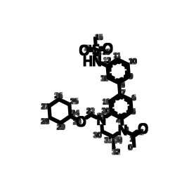 CC(=O)N1c2ccc(-c3cccc(NS(C)(=O)=O)c3)cc2N(COC2CCCCC2)C[C@@H]1C